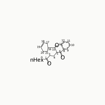 CCCCCCC(=O)CCC1C(=O)c2ccccc2OC1C1CC=CCC1